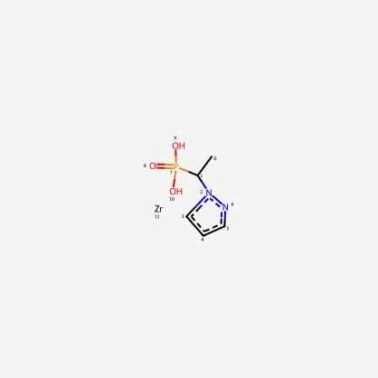 CC(n1cccn1)P(=O)(O)O.[Zr]